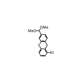 CCc1cccc2c1Cc1ccc(C(OC)OC)cc1S2